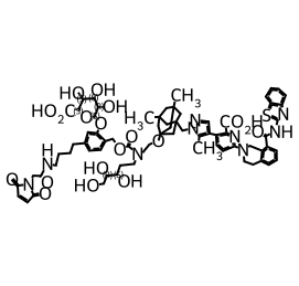 Cc1c(-c2ccc(N3CCc4cccc(C(=O)Nc5nc6ccccc6s5)c4C3)nc2C(=O)O)cnn1CC12CC3(C)CC(C)(C1)CC(OCCN(CC[C@H](O)[C@H](O)CO)C(=O)OCc1ccc(CCCCNC(=O)CN4C(=O)C=CC4=O)cc1O[C@@H]1O[C@H](C(=O)O)[C@@H](O)[C@H](O)[C@H]1O)(C3)C2